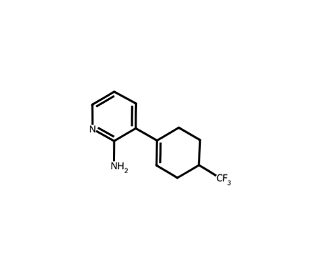 Nc1ncccc1C1=CCC(C(F)(F)F)CC1